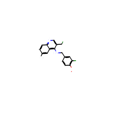 COc1ccc(CNc2c(CF)cnc3ccc(C)cc23)cc1Cl